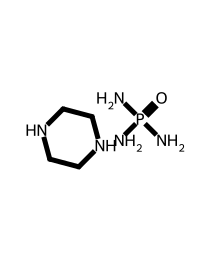 C1CNCCN1.NP(N)(N)=O